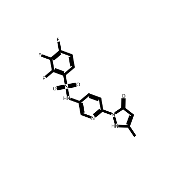 Cc1cc(=O)n(-c2ccc(NS(=O)(=O)c3ccc(F)c(F)c3F)cn2)[nH]1